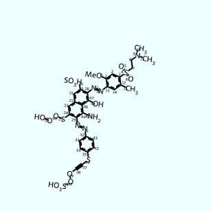 COc1cc(S(=O)(=O)CCN(C)C)c(C)cc1N=Nc1c(S(=O)(=O)O)cc2cc(SOOO)c(N=Nc3ccc(SC#COOS(=O)(=O)O)cc3)c(N)c2c1O